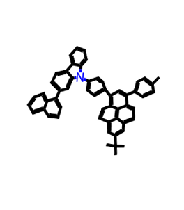 Cc1ccc(-c2cc(-c3ccc(-n4c5ccccc5c5ccc(-c6cccc7ccccc67)cc54)cc3)c3ccc4cc(C(C)(C)C)cc5ccc2c3c54)cc1